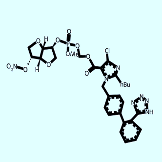 CCCCc1nc(Cl)c(C(=O)OCOP(=O)(OC)O[C@H]2CO[C@H]3[C@@H]2OC[C@H]3O[N+](=O)[O-])n1Cc1ccc(-c2ccccc2-c2nnn[nH]2)cc1